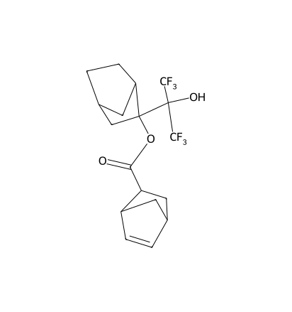 O=C(OC1(C(O)(C(F)(F)F)C(F)(F)F)CC2CCC1C2)C1CC2C=CC1C2